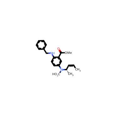 C/C=C\[C@H](C)N(C(=O)O)c1ccc(NCc2ccccc2)c(C(=O)OC)c1